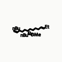 CC/C=C/CCCCCCCC/C=C\CCCC.CCCCOOC